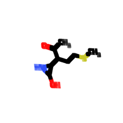 CSCCC(C(C)=O)C1NC1O